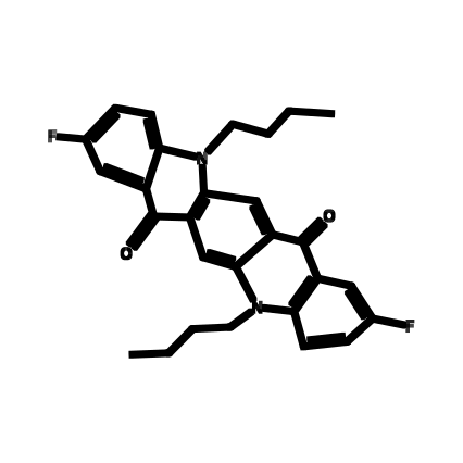 CCCCn1c2ccc(F)cc2c(=O)c2cc3c(cc21)c(=O)c1cc(F)ccc1n3CCCC